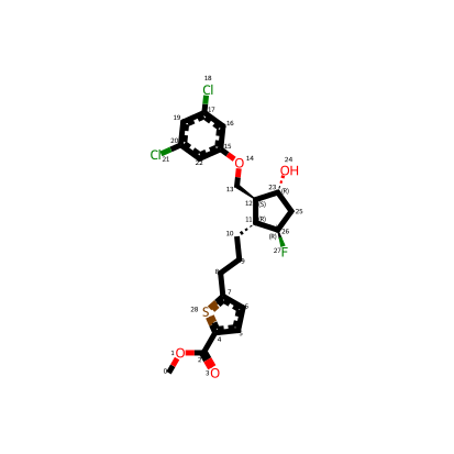 COC(=O)c1ccc(CCC[C@@H]2[C@@H](COc3cc(Cl)cc(Cl)c3)[C@H](O)C[C@H]2F)s1